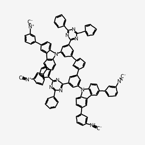 [C-]#[N+]c1cccc(-c2ccc3c(c2)c2cc(-c4cccc([N+]#[C-])c4)ccc2n3-c2cc(-c3cccc(-c4cc(-c5nc(-c6ccccc6)nc(-c6ccccc6)n5)cc(-n5c6ccc(-c7cccc([N+]#[C-])c7)cc6c6cc(-c7cccc([N+]#[C-])c7)ccc65)c4)c3)cc(-c3nc(-c4ccccc4)nc(-c4ccccc4)n3)c2)c1